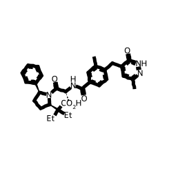 CCC(CC)(C(=O)O)[C@H]1CC[C@@H](c2ccccc2)N1C(=O)[C@@H](C)NC(=O)c1ccc(Cc2cc(C)n[nH]c2=O)c(C)c1